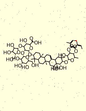 C/C=C(/C)C(=O)OC1C(O)[C@H](O[C@H]2[C@H](O)[C@@]3(CO)C(CC2(C)C)C2=CCC4[C@@]5(C)CC[C@H](O[C@@H]6OC(C(=O)O)[C@@H](O)C(O[C@@H]7O[C@@H](CO)C(O)C7O)C6O[C@@H]6OC(CO)[C@H](O)C(O)C6O)C(C)(C)C5CC[C@@]4(C)[C@]2(C)C[C@H]3O)OC(C)[C@@H]1OC(=O)/C(C)=C\C